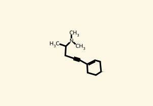 CC(CC#CC1=CC[CH]CC1)N(C)C